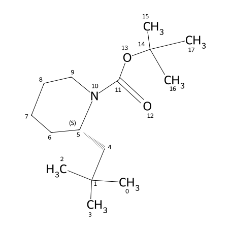 CC(C)(C)C[C@@H]1CCCCN1C(=O)OC(C)(C)C